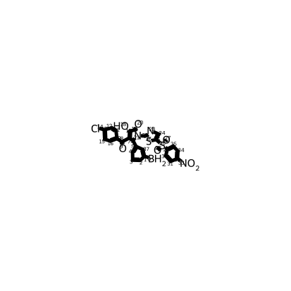 Bc1cccc(C2C(C(=O)c3ccc(Cl)cc3)=C(O)C(=O)N2c2ncc(S(=O)(=O)c3ccc([N+](=O)[O-])cc3)s2)c1